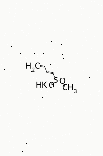 C=CC=CS(=O)OC.[KH]